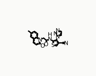 Cc1ccc2c(ccc(=O)n2CC(=O)Nc2scc(C#N)c2-n2ccnn2)c1